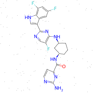 Nc1nccc(C(=O)N[C@@H]2CCC[C@H](Nc3nc(-c4c[nH]c5c(F)cc(F)cc45)ncc3F)C2)n1